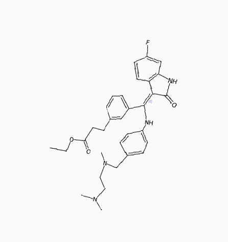 CCOC(=O)CCc1cccc(/C(Nc2ccc(CN(C)CCN(C)C)cc2)=C2/C(=O)Nc3cc(F)ccc32)c1